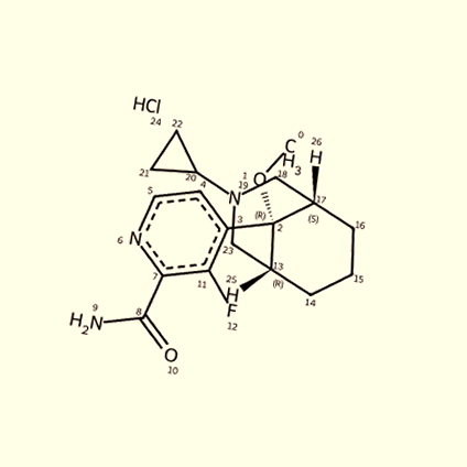 CO[C@@]1(c2ccnc(C(N)=O)c2F)[C@@H]2CCC[C@H]1CN(C1CC1)C2.Cl